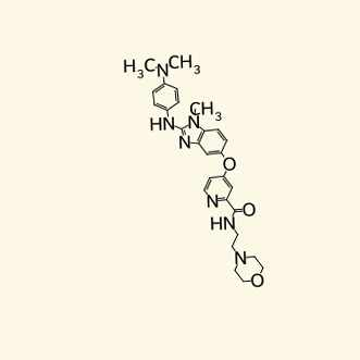 CN(C)c1ccc(Nc2nc3cc(Oc4ccnc(C(=O)NCCN5CCOCC5)c4)ccc3n2C)cc1